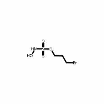 O=S(=O)(NO)OCCCBr